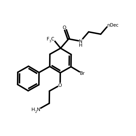 CCCCCCCCCCCCNC(=O)C1(C(F)(F)F)C=C(Br)C(OCCN)=C(c2ccccc2)C1